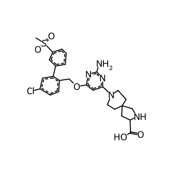 CS(=O)(=O)c1cccc(-c2cc(Cl)ccc2COc2cc(N3CCC4(CC3)CNC(C(=O)O)C4)nc(N)n2)c1